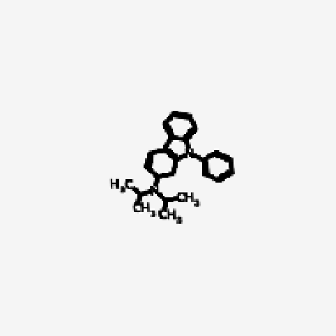 CC(C)N(C(C)C)C1C=Cc2c(n(-c3ccccc3)c3ccccc23)C1